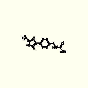 CC[C@@H](C)C(=O)NCc1ccc(-c2noc(C(F)(F)F)n2)cc1